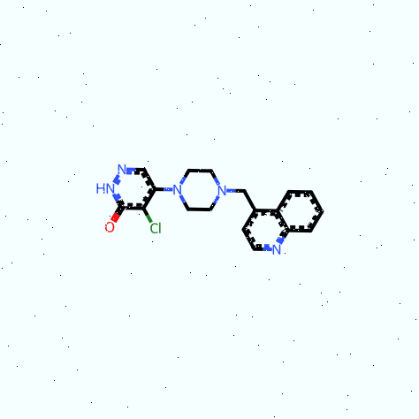 O=c1[nH]ncc(N2CCN(Cc3ccnc4ccccc34)CC2)c1Cl